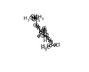 CN(CCCCCC(=O)N1CCN(CC[C@H](CSc2ccccc2)Nc2ccc(S(=O)(=O)NC(=O)c3ccc(N4CCN(CC5=C(c6ccc(Cl)cc6)CCC(C)(C)C5)CC4)cc3)cc2S(=O)(=O)C(F)(F)F)CC1)C(=O)OC(C)(C)C